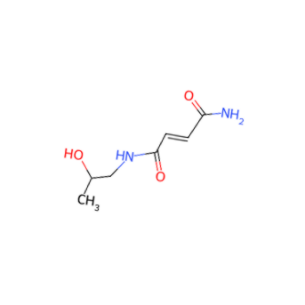 CC(O)CNC(=O)C=CC(N)=O